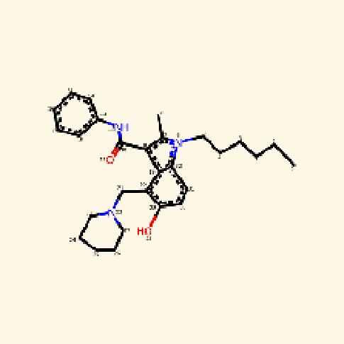 CCCCCCn1c(C)c(C(=O)Nc2ccccc2)c2c(CN3CCCCC3)c(O)ccc21